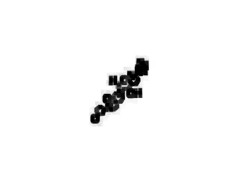 Cc1nc(-n2cnnn2)ccc1C(O)CN1CCC2(CC1)CCN(C1=CC(=O)CC1)C2=O